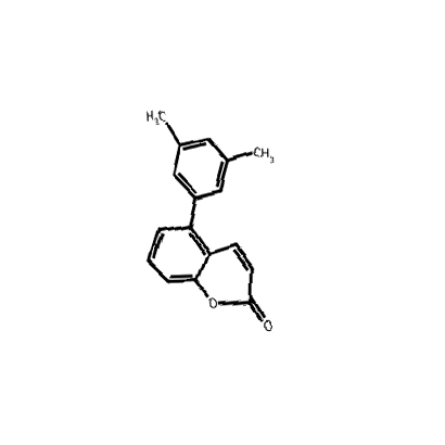 Cc1cc(C)cc(-c2cccc3oc(=O)ccc23)c1